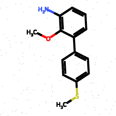 COc1c(N)cccc1-c1ccc(SC)cc1